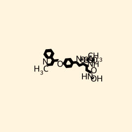 Cc1cc(COc2ccc(C3=NOC(C(CC(=O)NO)NS(C)(=O)=O)C3)cc2)c2ccccc2n1